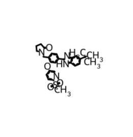 CC(C)(C)c1ccc2[nH]c(-c3ccc(CN4CCCC4=O)c(Oc4ccc(S(C)(=O)=O)nc4)c3)nc2c1